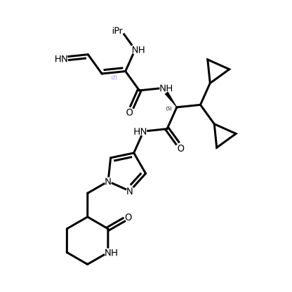 CC(C)N/C(=C\C=N)C(=O)N[C@H](C(=O)Nc1cnn(CC2CCCNC2=O)c1)C(C1CC1)C1CC1